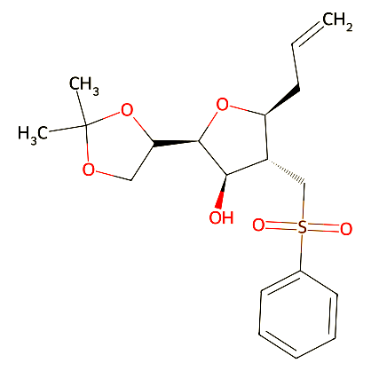 C=CC[C@@H]1O[C@H](C2COC(C)(C)O2)[C@H](O)[C@H]1CS(=O)(=O)c1ccccc1